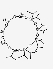 CC(C)[SiH]1O[SiH2]O[SiH2]O[SiH2]O[SiH2]O[Si](C(C)C)(C(C)C)O[Si](C(C)C)(C(C)C)O[Si](C(C)C)(C(C)C)O[Si](C(C)C)(C(C)C)O1